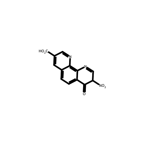 O=C(O)c1cnc2c3c(ccc2c1)C(=O)C([N+](=O)[O-])C=N3